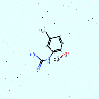 Cc1cccc(NC(=N)N)c1.O=[N+]([O-])O